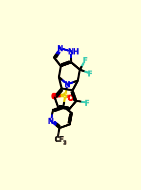 O=S(=O)(c1ccc(C(F)(F)F)nc1)N1C2c3cn[nH]c3C(F)(F)C1c1c(F)cccc12